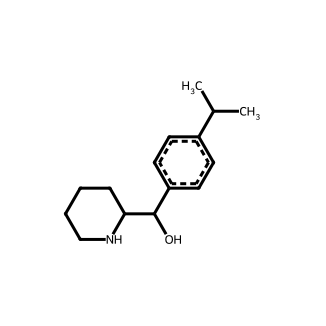 CC(C)c1ccc(C(O)C2CCCCN2)cc1